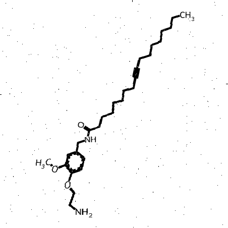 CCCCCCCCC#CCCCCCCCC(=O)NCc1ccc(OCCN)c(OC)c1